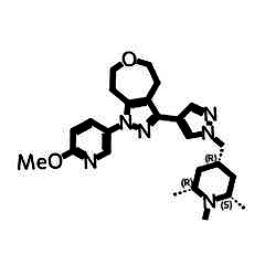 COc1ccc(-n2nc(-c3cnn(C[C@H]4C[C@@H](C)N(C)[C@@H](C)C4)c3)c3c2CCOCC3)cn1